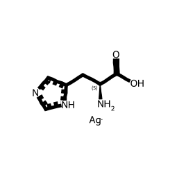 N[C@@H](Cc1cnc[nH]1)C(=O)O.[Ag]